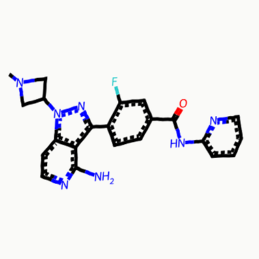 CN1CC(n2nc(-c3ccc(C(=O)Nc4ccccn4)cc3F)c3c(N)nccc32)C1